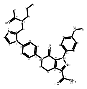 CCCN(Cc1nccn1-c1ccc(N2CCc3c(C(N)=O)nn(-c4ccc(OC)cc4)c3C2=O)cc1)C(C)=O